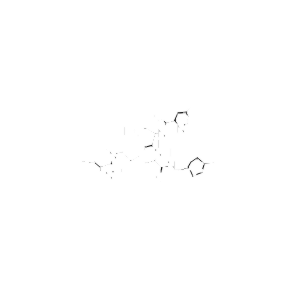 Cc1ccc(CNC(=O)C(CCCCN(C)C(=O)C(C#N)=CC(C)C)NC(=O)[C@@H](NC(=O)c2cc(C)on2)[C@@H](C)O)cc1